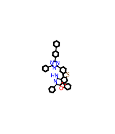 N=C(/N=C(/c1ccccc1)c1cc2ccccc2o1)c1cccc2sc3ccc(-c4nc(-c5ccccc5)nc(-c5ccc(-c6ccccc6)cc5)n4)cc3c12